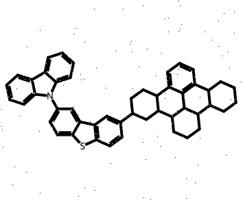 c1cc2c3c(c1)C1CCC(c4ccc5sc6ccc(-n7c8ccccc8c8ccccc87)cc6c5c4)CC1C1CCCC(C4CCCCC24)C31